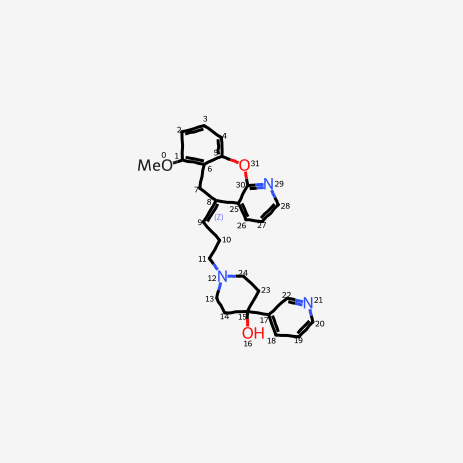 COc1cccc2c1C/C(=C/CCN1CCC(O)(c3cccnc3)CC1)c1cccnc1O2